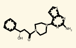 Nc1nc(N2CCN(C(=O)C[C@H](O)c3ccccc3)CC2)c2ccsc2n1